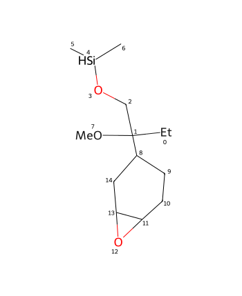 CCC(CO[SiH](C)C)(OC)C1CCC2OC2C1